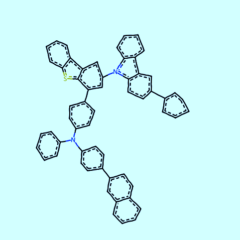 c1ccc(-c2ccc3c(c2)c2ccccc2n3-c2cc(-c3ccc(N(c4ccccc4)c4ccc(-c5ccc6ccccc6c5)cc4)cc3)c3sc4ccccc4c3c2)cc1